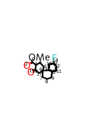 COC(=O)C1CCC2(CCCc3ccc(F)cc32)CC1=O